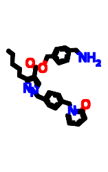 CCCCCc1nn(Cc2ccc(Cn3ccccc3=O)cc2)cc1C(=O)OCc1ccc(CN)cc1